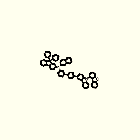 c1ccc(C2(c3ccccc3)c3ccccc3-c3ccc(N(c4cccc(-c5ccc(-c6ccc7c(c6)c6ccccc6n7-c6cccc7oc8ccccc8c67)cc5)c4)c4ccc5ccccc5c4)cc32)cc1